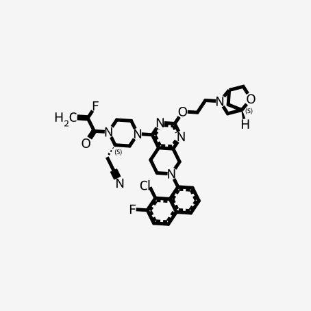 C=C(F)C(=O)N1CCN(c2nc(OCCN3C[C@@H]4CC3CO4)nc3c2CCN(c2cccc4ccc(F)c(Cl)c24)C3)C[C@@H]1CC#N